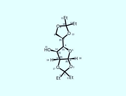 CCC1(CC)O[C@H]2O[C@H]([C@H]3COC(CC)(CC)O3)[C@H](O)[C@H]2O1